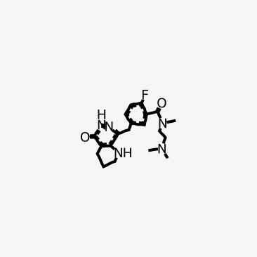 CN(C)CCN(C)C(=O)c1cc(Cc2n[nH]c(=O)c3c2NCCC3)ccc1F